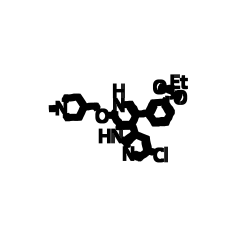 CCS(=O)(=O)c1cccc(C2=CNC(OCC3CCN(C)CC3)c3[nH]c4ncc(Cl)cc4c32)c1